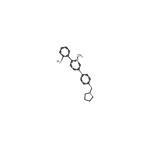 Cc1ccccc1-c1ccc(-c2ccc(CC3CCCC3)cc2)c[n+]1C